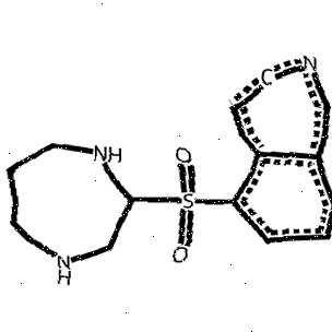 O=S(=O)(c1cccc2cnccc12)C1CNCCCN1